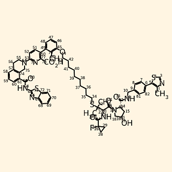 Cc1ncsc1-c1ccc(CNC(=O)[C@@H]2C[C@@H](O)CN2C(=O)[C@@H](NC(=O)C2(F)CC2)C(C)(C)SCCCCCCCCCCOc2cccc(-c3ccc(N4CCc5cccc(C(=O)Nc6nc7ccccc7s6)c5C4)nc3C(=O)O)c2C)cc1